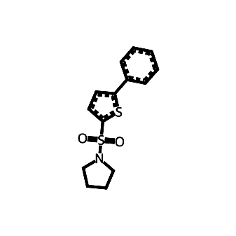 O=S(=O)(c1ccc(-c2ccccc2)s1)N1CCCC1